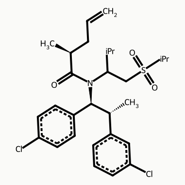 C=CC[C@H](C)C(=O)N(C(CS(=O)(=O)C(C)C)C(C)C)[C@H](c1ccc(Cl)cc1)[C@H](C)c1cccc(Cl)c1